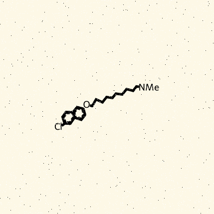 CNCCCCCCCCCCOc1ccc2cc(Cl)ccc2c1